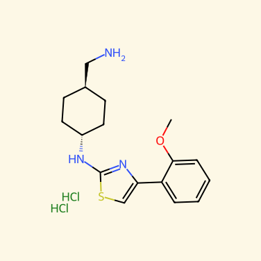 COc1ccccc1-c1csc(N[C@H]2CC[C@H](CN)CC2)n1.Cl.Cl